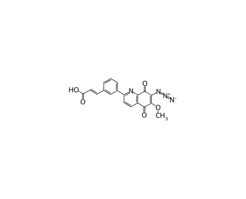 COC1=C(N=[N+]=[N-])C(=O)c2nc(-c3cccc(/C=C/C(=O)O)c3)ccc2C1=O